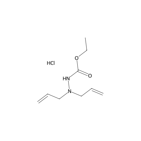 C=CCN(CC=C)NC(=O)OCC.Cl